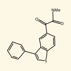 CNC(=O)C(=O)c1ccc2scc(-c3ccccc3)c2c1